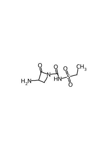 CCS(=O)(=O)NC(=O)N1CC(N)C1=O